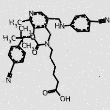 Cc1ncc(CNc2ccc(C#N)cc2)c(CN(CCCCCC(=O)O)C(=O)OC(C)(C)C)c1OCc1ccc(C#N)cc1